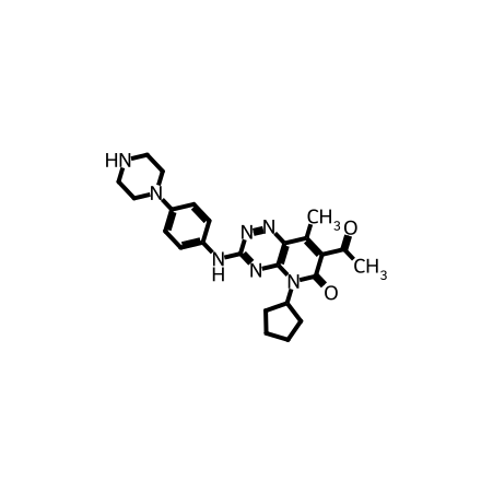 CC(=O)c1c(C)c2nnc(Nc3ccc(N4CCNCC4)cc3)nc2n(C2CCCC2)c1=O